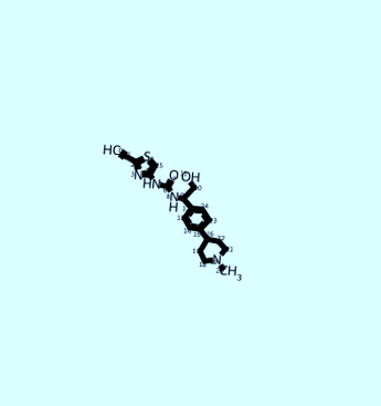 C#Cc1nc(NC(=O)NC(CO)c2ccc(C3CCN(C)CC3)cc2)cs1